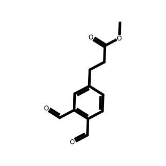 COC(=O)CCc1ccc(C=O)c(C=O)c1